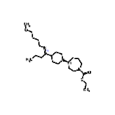 CCC/C(=N\CCCCOC)C1CCN([C@H]2CCCN(C(=O)OCC)CC2)CC1